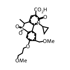 COCCCOc1cc2c(cc1COC)-c1c(cc(C(=O)O)c(=O)n1C1CC1)C(C)S2(=O)=O